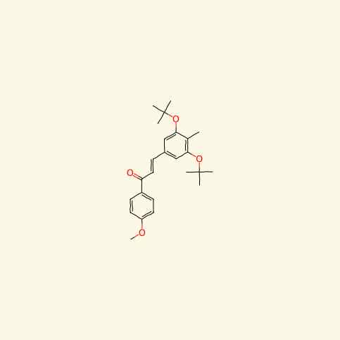 COc1ccc(C(=O)/C=C/c2cc(OC(C)(C)C)c(C)c(OC(C)(C)C)c2)cc1